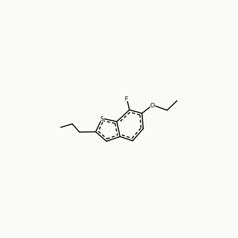 CCCc1cc2ccc(OCC)c(F)c2s1